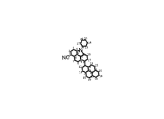 N#Cc1ccc2c3c1ccc1c(-c4ccc5ccc6cccc7ccc4c5c67)ccc(c13)n2-c1ccccc1